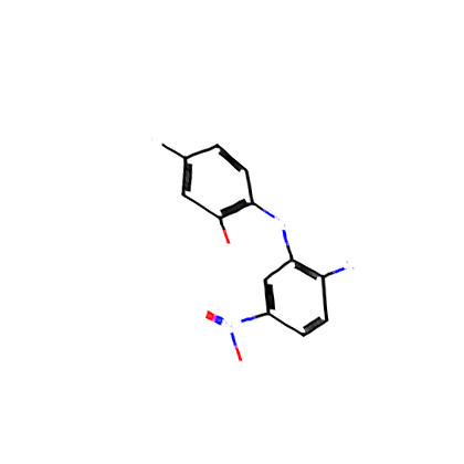 Cc1ccc(Nc2cc([N+](=O)[O-])ccc2N)c(O)c1